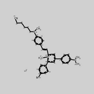 CN(C)c1ccc(-c2cc(/C=C/c3ccc(N(C)CCCCCC#N)cc3)[n+](C)c(-c3ccc(Br)cc3)c2)cc1.[I-]